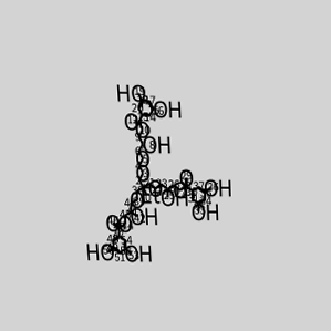 CCC(COCOCC(O)COC(=O)c1cc(O)cc(O)c1)(COCC(O)COC(=O)c1cc(O)cc(O)c1)COCC(O)COC(=O)c1cc(O)cc(O)c1